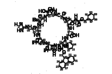 C=C1NC(CO)C(=O)N[C@H](c2ccccc2)[C@H](NC(=O)OCC2c3ccccc3-c3ccccc32)C(=O)N[C@@H]([C@H](O)C(C)C)C(=O)N[C@@H](CC(C)C)C(=O)N[C@H](CCCNC(=N)N)C(=O)N[C@@H](C(C)CC)C(=O)N[C@@H]([C@H](C)O)C(=O)NCC(=O)N[C@H]1CCNC(=O)OCc1ccccc1